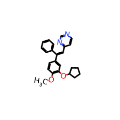 COc1ccc(C(=Cc2ccncn2)c2ccccc2)cc1OC1CCCC1